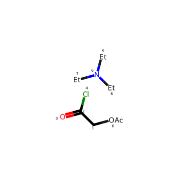 CC(=O)OCC(=O)Cl.CCN(CC)CC